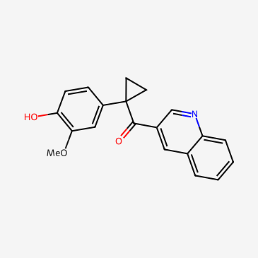 COc1cc(C2(C(=O)c3cnc4ccccc4c3)CC2)ccc1O